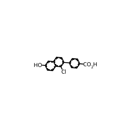 O=C(O)c1ccc(-c2ccc3cc(O)ccc3c2Cl)cc1